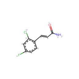 NC(=O)/C=C/c1ccc(F)cc1Cl